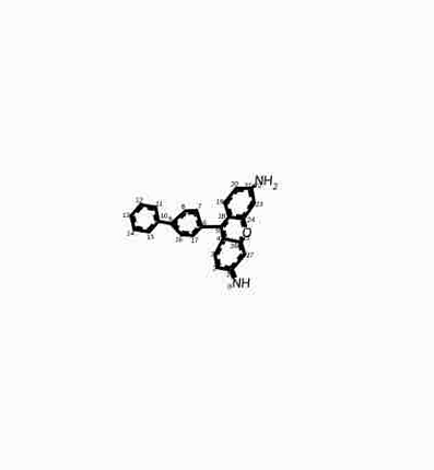 N=c1ccc2c(-c3ccc(-c4ccccc4)cc3)c3ccc(N)cc3oc-2c1